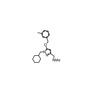 CNCc1cc(OCc2cccc(C)c2)n(CC2CCCCC2)n1